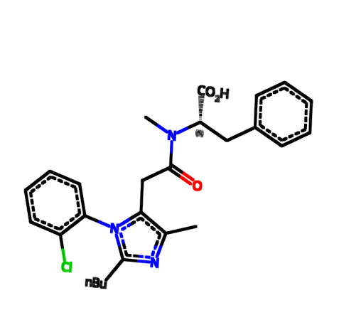 CCCCc1nc(C)c(CC(=O)N(C)[C@@H](Cc2ccccc2)C(=O)O)n1-c1ccccc1Cl